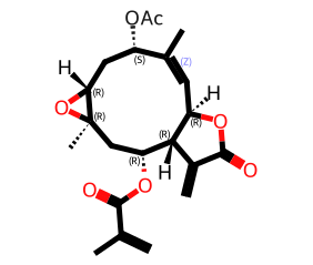 C=C(C)C(=O)O[C@@H]1C[C@@]2(C)O[C@@H]2C[C@H](OC(C)=O)/C(C)=C\[C@H]2OC(=O)C(=C)[C@@H]21